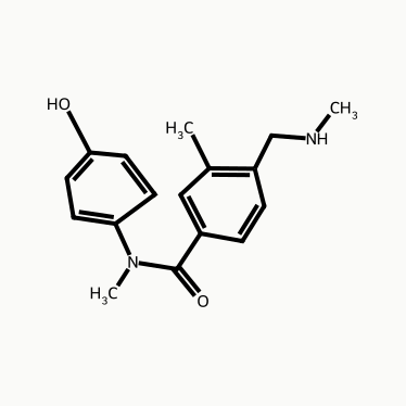 CNCc1ccc(C(=O)N(C)c2ccc(O)cc2)cc1C